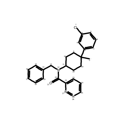 [CH2]C1(c2cccc(Cl)c2)CCC(N(Cc2ccccc2)C(=O)c2cccnn2)CC1